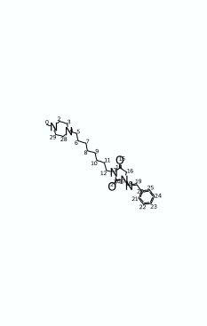 CN1CCN(CCCCCCCCN2C(=O)CN(/N=C/c3ccccc3)C2=O)CC1